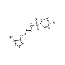 CC(C)C1=CS[CH]N1CCCCNS(=O)(=O)c1ccc(Cl)cc1